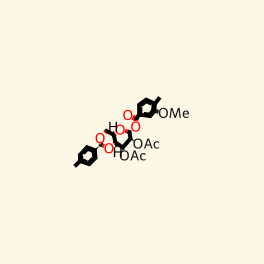 COc1cc(C(=O)O[C@@H]2O[C@@H]3CO[C@@H](c4ccc(C)cc4)O[C@H]3[C@H](OC(C)=O)[C@H]2OC(C)=O)ccc1C